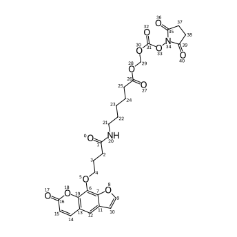 O=C(CCCOc1c2occc2cc2ccc(=O)oc12)NCCCCCC(=O)OCOC(=O)ON1C(=O)CCC1=O